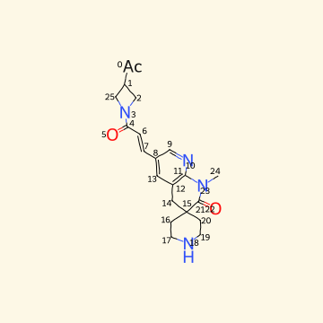 CC(=O)C1CN(C(=O)/C=C/c2cnc3c(c2)CC2(CCNCC2)C(=O)N3C)C1